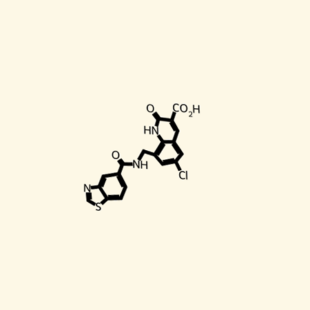 O=C(NCc1cc(Cl)cc2cc(C(=O)O)c(=O)[nH]c12)c1ccc2scnc2c1